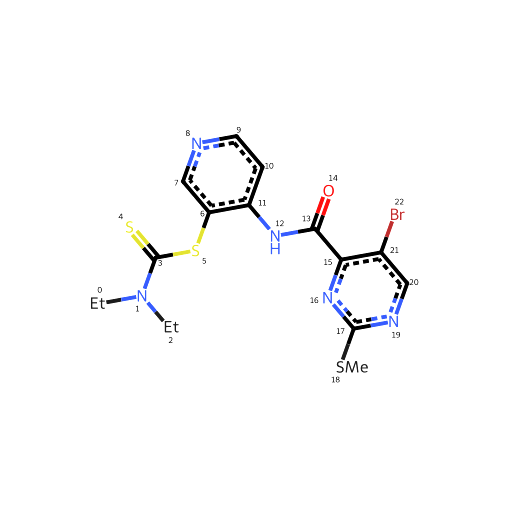 CCN(CC)C(=S)Sc1cnccc1NC(=O)c1nc(SC)ncc1Br